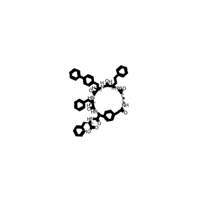 O=C1CCNC(=O)c2ccc(cc2)C(C(=O)N[C@H](Cc2ccccc2)C(=O)O)NC(=O)[C@@H](Cc2ccccc2)NC(=O)[C@H](Cc2ccc(-c3ccccc3)cc2)NC(=O)[C@@H](CCc2ccccc2)N1